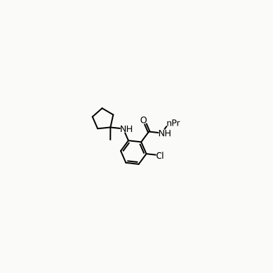 CCCNC(=O)c1c(Cl)cccc1NC1(C)CCCC1